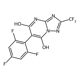 Oc1nc2nc(C(F)(F)F)nn2c(O)c1-c1c(F)cc(F)cc1F